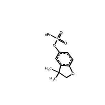 CCCS(=O)(=O)Oc1ccc2c(c1)C(C)(C)CO2